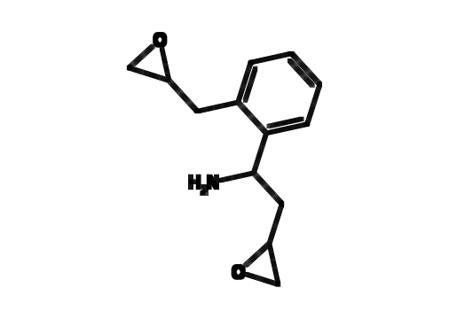 NC(CC1CO1)c1ccccc1CC1CO1